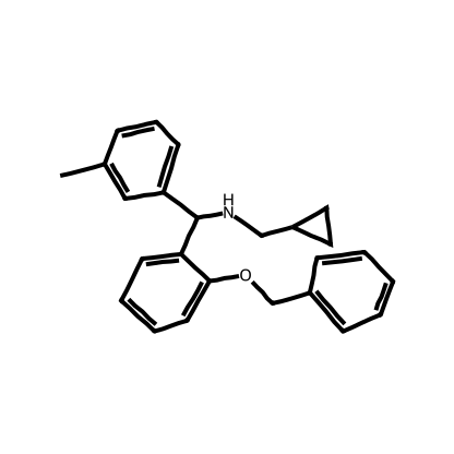 Cc1cccc(C(NCC2CC2)c2ccccc2OCc2ccccc2)c1